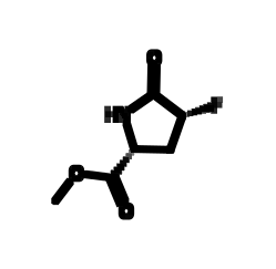 COC(=O)[C@H]1C[C@@H](F)C(=O)N1